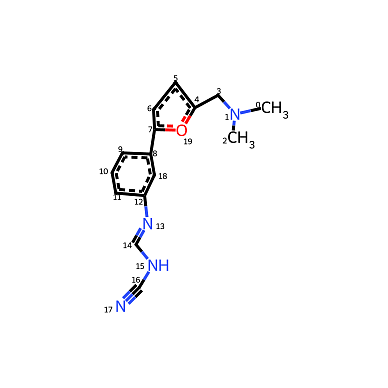 CN(C)Cc1ccc(-c2cccc(N=CNC#N)c2)o1